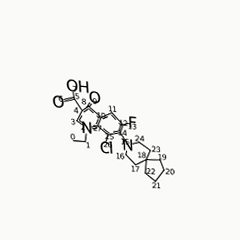 CCn1cc(C(=O)O)c(=O)c2cc(F)c(N3CCC4(CCCC4)CC3)c(Cl)c21